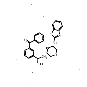 C1COCCN1.CC(C(=O)O)c1cccc(C(=O)c2ccccc2)c1.Sc1nc2ccccc2s1